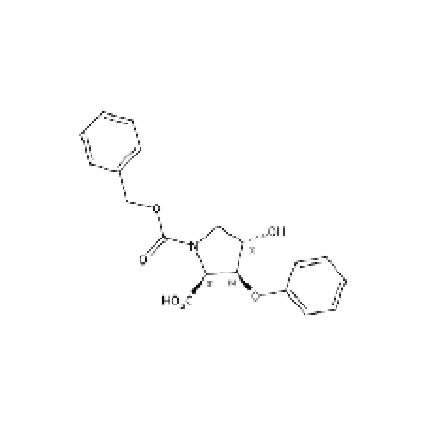 O=C(O)[C@@H]1[C@H](Oc2ccccc2)[C@@H](O)CN1C(=O)OCc1ccccc1